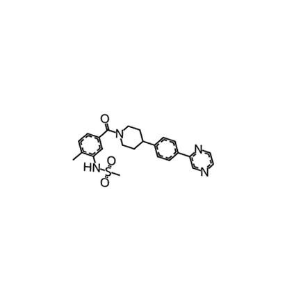 Cc1ccc(C(=O)N2CCC(c3ccc(-c4cnccn4)cc3)CC2)cc1NS(C)(=O)=O